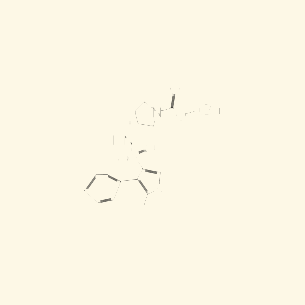 CC(C)(C)OC(=O)N1CC[C@@H](NS(=O)(=O)c2csc(C(F)(F)F)c2-c2ccccc2)C1